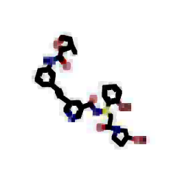 Cc1ccoc1C(=O)Nc1cccc(C#Cc2cncc(C(=O)N=S(CC(=O)N3CCC(O)C3)c3ccccc3O)c2)c1